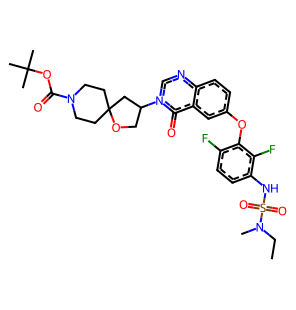 CCN(C)S(=O)(=O)Nc1ccc(F)c(Oc2ccc3ncn(C4COC5(CCN(C(=O)OC(C)(C)C)CC5)C4)c(=O)c3c2)c1F